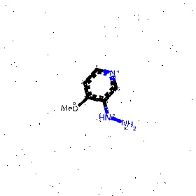 COc1ccncc1NN